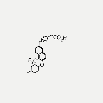 CC1CCC(Oc2ccc3cc(CN4CC(CC(=O)O)C4)ccc3c2C(F)(F)F)CC1